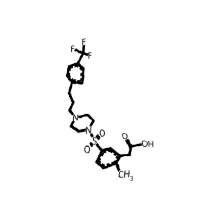 Cc1ccc(S(=O)(=O)N2CCN(CCCc3ccc(C(F)(F)F)cc3)CC2)cc1CC(=O)O